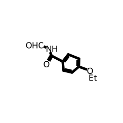 CCOc1ccc(C(=O)NC=O)cc1